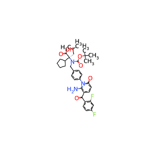 CC(C)C[C@@](C(=O)O)(C1CCCC1)N(Cc1ccc(-n2c(N)c(C(=O)c3ccc(F)cc3F)ccc2=O)cc1)C(=O)OC(C)(C)C